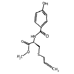 C=CCSC[C@H](NC(=O)c1ccc(O)cc1)C(=O)OC